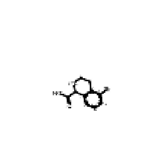 O=C(O)C1NCCc2c(Br)cccc21